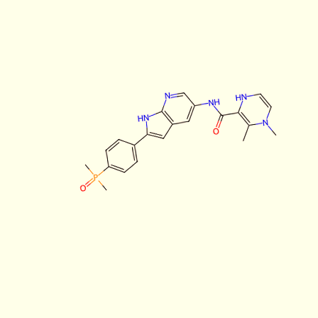 CC1=C(C(=O)Nc2cnc3[nH]c(-c4ccc(P(C)(C)=O)cc4)cc3c2)NC=CN1C